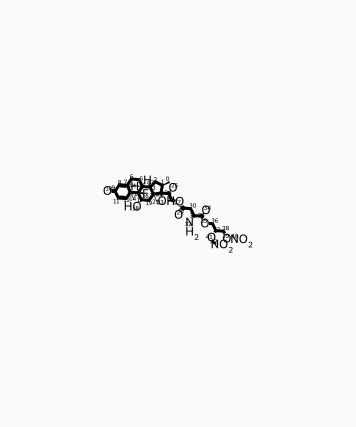 C[C@@H]1C[C@H]2[C@@H]3CCC4=CC(=O)C=C[C@]4(C)[C@@]3(F)[C@@H](O)C[C@]2(C)[C@@]1(O)C(=O)COC(=O)CC(N)C(=O)OCC(CO[N+](=O)[O-])O[N+](=O)[O-]